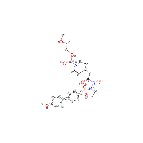 CCN(N(O)C(=O)CC1CCN(C(=O)OCCOC)CC1)S(=O)(=O)c1ccc(-c2ccc(OC)cc2)cc1